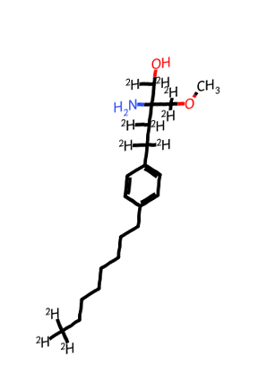 [2H]C([2H])([2H])CCCCCCCc1ccc(C([2H])([2H])C([2H])([2H])C(N)(C([2H])([2H])O)C([2H])([2H])OC)cc1